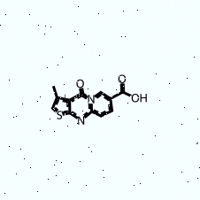 Cc1csc2nc3ccc(C(=O)O)cn3c(=O)c12